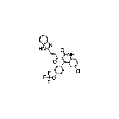 O=C(/C=C/c1nc2ccccc2[nH]1)c1c(-c2ccc(OC(F)(F)F)cc2)c2cc(Cl)ccc2[nH]c1=O